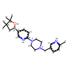 Cc1ccc(CN2CCN(c3ccc(B4CC(C)(C)C(C)(C)O4)cn3)CC2)cn1